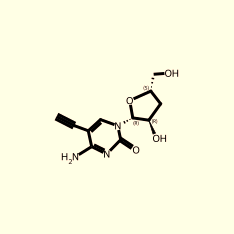 C#Cc1cn([C@@H]2O[C@H](CO)C[C@H]2O)c(=O)nc1N